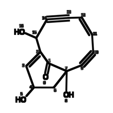 O=C1C2=CC(O)CC1(O)C#C/C=C\C#CC2O